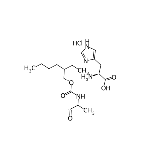 CCCCC(CC)COC(=O)NC(C)[C]=O.Cl.N[C@@H](Cc1c[nH]cn1)C(=O)O